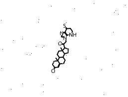 CC12CCC(=O)C=C1CCC1C2CCC2(C)C(C(=O)Cn3cnc4c3NCCC4=S)CCC12